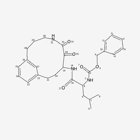 CC(C)CC(NC(=O)OCc1ccccc1)C(=O)NC1CCc2cccc(c2)CCCNC(=O)C1=O